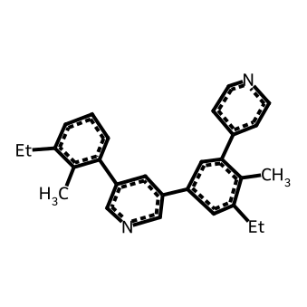 CCc1cccc(-c2cncc(-c3cc(CC)c(C)c(-c4ccncc4)c3)c2)c1C